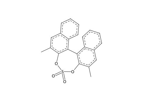 Cc1cc2ccccc2c2c1OS(=O)(=O)Oc1c(C)cc3ccccc3c1-2